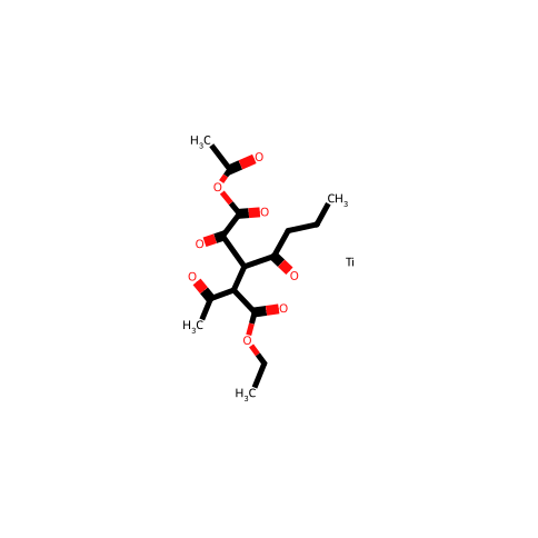 CCCC(=O)C(C(=O)C(=O)OC(C)=O)C(C(C)=O)C(=O)OCC.[Ti]